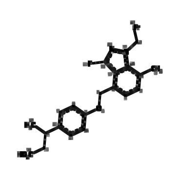 Cc1ccc(COc2ccc(C(C)CC(=O)O)cc2)c2c(F)nn(CC(C)C)c12